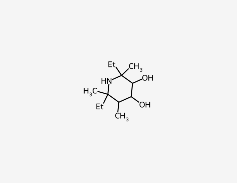 CCC1(C)NC(C)(CC)C(O)C(O)C1C